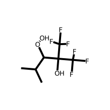 CC(C)C(OO)C(O)(C(F)(F)F)C(F)(F)F